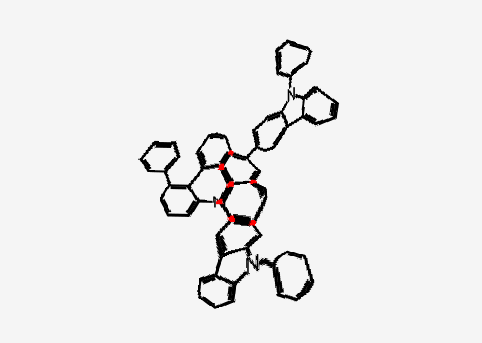 c1ccc(-c2ccccc2-c2c(-c3ccccc3)cccc2N(c2ccc(-c3ccc4c(c3)c3ccccc3n4-c3ccccc3)cc2)c2ccc3c(c2)c2ccccc2n3-c2ccccc2)cc1